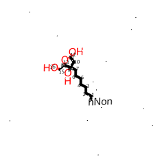 CCCCCCCCCCCCCCCC[C@]1(O)CC(O)O[C@@H]1CO